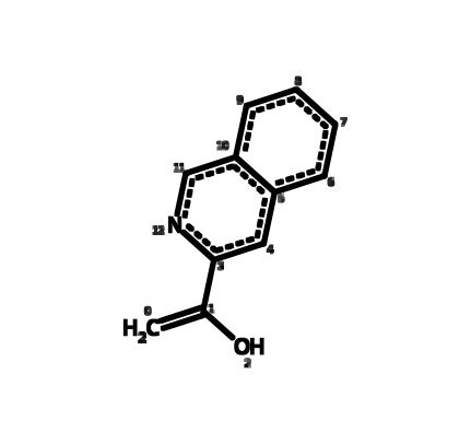 C=C(O)c1cc2ccccc2cn1